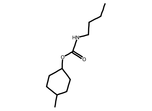 CCCCNC(=O)OC1CCC(C)CC1